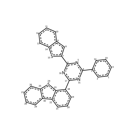 c1ccc(-c2nc(-c3cc4ccccc4s3)nc(-c3cccc4c3sc3ccccc34)n2)cc1